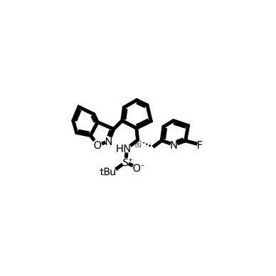 CC(C)(C)[S+]([O-])N[C@@H](Cc1cccc(F)n1)c1ccccc1-c1noc2ccccc12